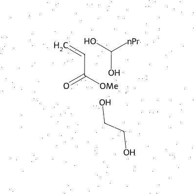 C=CC(=O)OC.CCCC(O)O.OCCO